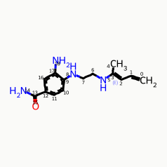 C=C/C=C(\C)NCCNc1ccc(C(N)=O)cc1N